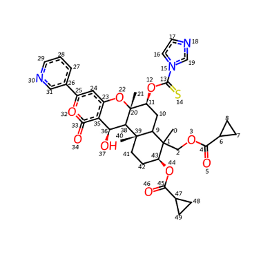 CC1(COC(=O)C2CC2)C2C[C@H](OC(=S)n3ccnc3)[C@@]3(C)Oc4cc(-c5cccnc5)oc(=O)c4[C@H](O)C3[C@@]2(C)CC[C@@H]1OC(=O)C1CC1